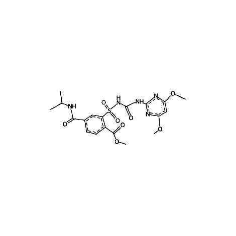 COC(=O)c1ccc(C(=O)NC(C)C)cc1S(=O)(=O)NC(=O)Nc1nc(OC)cc(OC)n1